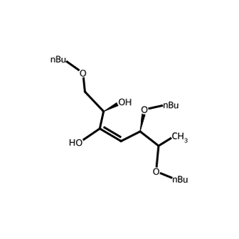 CCCCOC[C@@H](O)/C(O)=C\[C@@H](OCCCC)C(C)OCCCC